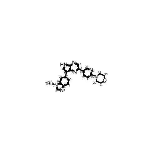 CC(C)(C)n1cnc2ccc(-c3c[nH]c4ncc(-c5ccc(N6CCOCC6)nc5)nc34)cc21